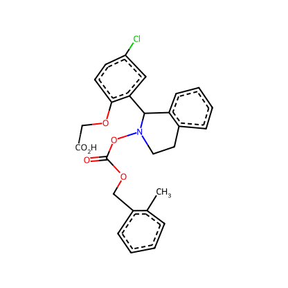 Cc1ccccc1COC(=O)ON1CCc2ccccc2C1c1cc(Cl)ccc1OCC(=O)O